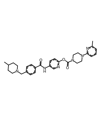 Cc1cccc(N2CCN(C(=O)Oc3ccc(NC(=O)c4ccc(CN5CCC(C)CC5)cc4)cn3)CC2)n1